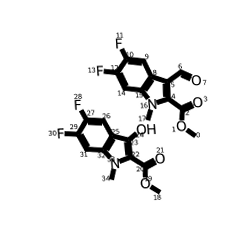 COC(=O)c1c(C=O)c2cc(F)c(F)cc2n1C.COC(=O)c1c(O)c2cc(F)c(F)cc2n1C